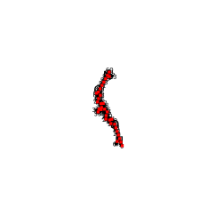 C=CCN(CC=C)CCCCCCCCOc1ccc(-c2ccc(-c3ccc4c(c3)C(CCC)(CCC)c3cc(-c5ccc(-c6ccc(OCCCCCCCCN(CC=C)CC=C)cc6)s5)ccc3-4)s2)cc1